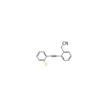 N#CCc1ccccc1C#Cc1ccccc1F